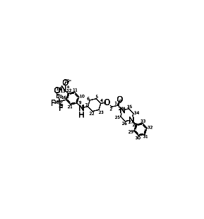 O=C(COC1CCC(Nc2ccc([N+](=O)[O-])c(C(F)(F)F)c2)CC1)N1CCN(c2ccccc2)CC1